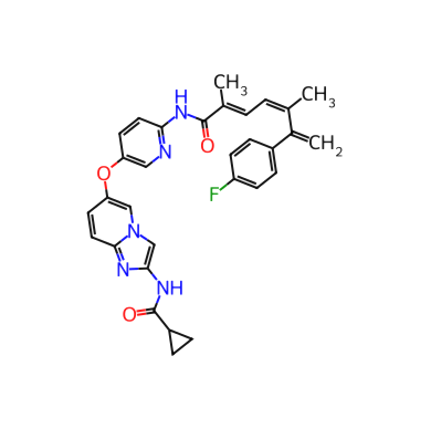 C=C(/C(C)=C\C=C(/C)C(=O)Nc1ccc(Oc2ccc3nc(NC(=O)C4CC4)cn3c2)cn1)c1ccc(F)cc1